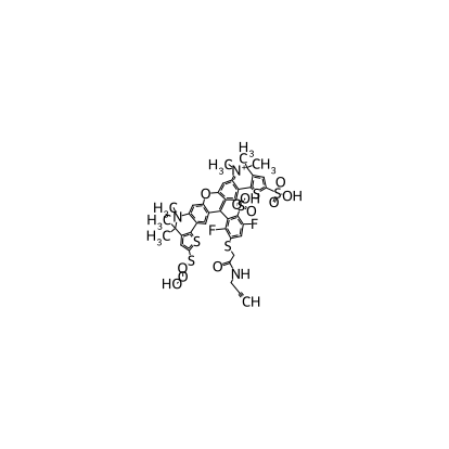 C#CCNC(=O)CSc1cc(F)c(S(=O)(=O)O)c(C2=c3cc4c(cc3Oc3cc5c(cc32)-c2sc(SOOO)cc2C(C)(C)N5C)=[N+](C)C(C)(C)c2cc(S(=O)(=O)O)sc2-4)c1F